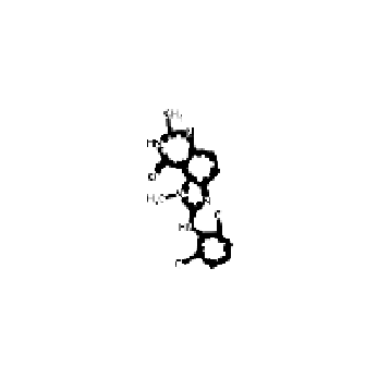 Cc1nc2ccc3nc(Nc4c(Cl)cccc4Cl)n(C)c3c2c(=O)[nH]1